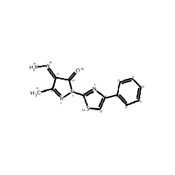 CC1=NN(c2nc(-c3ccccc3)cs2)C(=O)/C1=N/N